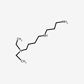 CCN(CC)CCCCNCCCN